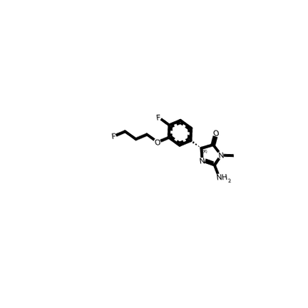 CN1C(=O)[C@@H](c2ccc(F)c(OCCCF)c2)N=C1N